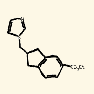 CCOC(=O)c1ccc2c(c1)CC(Cn1ccnc1)C2